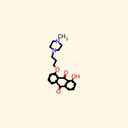 CN1CCN(CCCOc2cccc3c2C(=O)c2c(O)cccc2C3=O)CC1